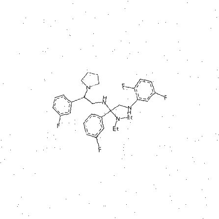 CCN(CC)C(CNc1cc(F)[c]cc1F)(NCC(c1cccc(F)c1)N1CCCC1)c1cccc(F)c1